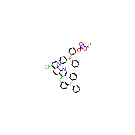 Clc1ccnc2c1ccc1c(Cl)ccnc12.O=[N+]([O-])[O-].[Cu+].c1ccc(P(c2ccccc2)c2ccccc2)cc1.c1ccc(P(c2ccccc2)c2ccccc2)cc1